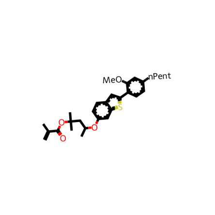 C=C(C)C(=O)OC(C)(C)CC(C)Oc1ccc2cc(-c3ccc(CCCCC)cc3OC)sc2c1